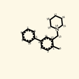 Cc1ccc(-c2ccccc2)cc1CN1CCCCC1